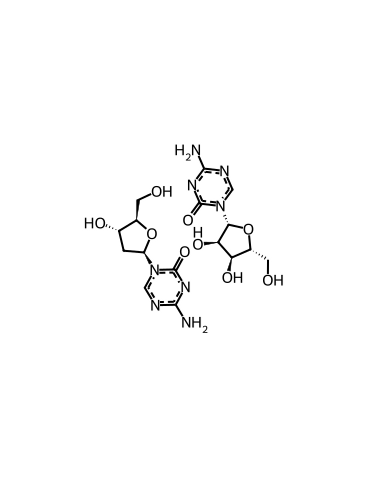 Nc1ncn([C@@H]2O[C@H](CO)[C@@H](O)[C@H]2O)c(=O)n1.Nc1ncn([C@H]2C[C@H](O)[C@@H](CO)O2)c(=O)n1